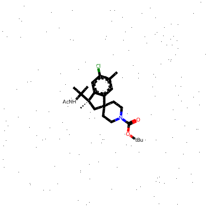 CC(=O)NC(C)(C)[C@]1(C)CC2(CCN(C(=O)OC(C)(C)C)CC2)c2cc(C)c(Cl)cc21